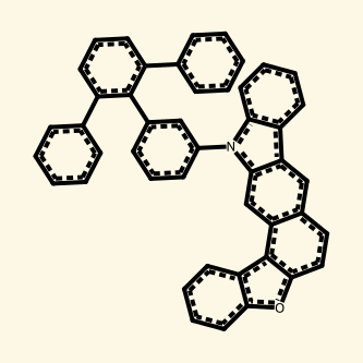 c1ccc(-c2cccc(-c3ccccc3)c2-c2cccc(-n3c4ccccc4c4cc5ccc6oc7ccccc7c6c5cc43)c2)cc1